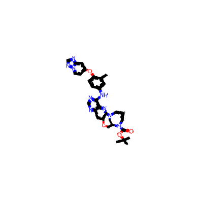 Cc1cc(Nc2ncnc3cc4c(nc23)N2CCCN(C(=O)OC(C)(C)C)C(CO4)C2)ccc1Oc1ccn2ncnc2c1